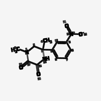 CN1CC(C)(c2cccc([N+](=O)[O-])c2)NC(=O)C1=O